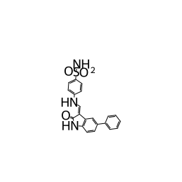 NS(=O)(=O)c1ccc(NC=C2C(=O)Nc3ccc(-c4ccccc4)cc32)cc1